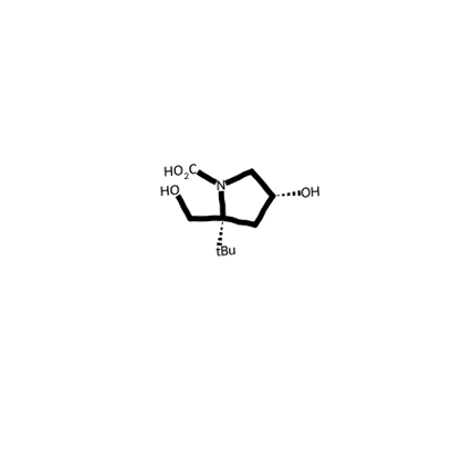 CC(C)(C)[C@@]1(CO)C[C@@H](O)CN1C(=O)O